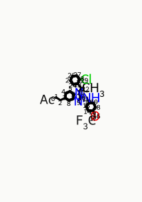 CC(=O)CCc1ccc2c(c1)nc(Nc1ccc(OC(F)(F)F)cc1)n2C(C)c1ccccc1Cl